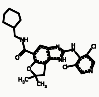 CC1(C)Cc2c(c(C(=O)NCC3CCCCC3)cc3nc(Nc4c(Cl)cncc4Cl)[nH]c23)O1